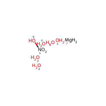 O.O.O.O.O.O=[N+]([O-])O.[MgH2]